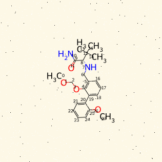 COCOc1c(CN[C@H](C(N)=O)C(C)(C)C)cccc1-c1ccccc1OC